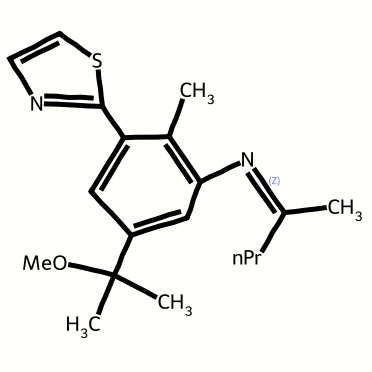 CCC/C(C)=N\c1cc(C(C)(C)OC)cc(-c2nccs2)c1C